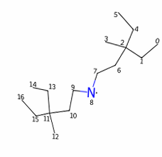 CCC(C)(CC)CC[N]CCC(C)(CC)CC